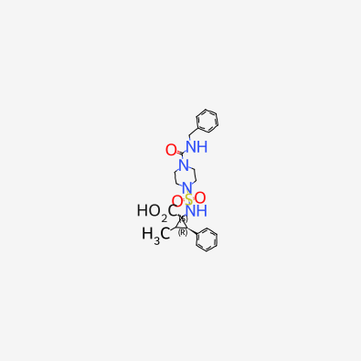 CC1[C@H](c2ccccc2)[C@]1(NS(=O)(=O)N1CCN(C(=O)NCc2ccccc2)CC1)C(=O)O